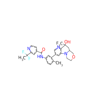 Cc1ccc(NC(=O)c2ccnc(C(C)(F)F)c2)cc1-c1cnc2c(c1)N1CCOCC1CC2(O)C(F)(F)F